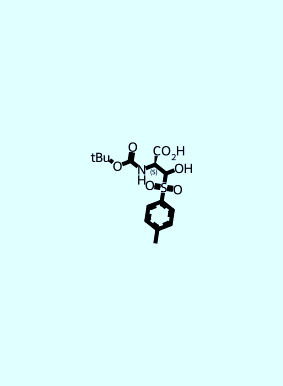 Cc1ccc(S(=O)(=O)C(O)[C@@H](NC(=O)OC(C)(C)C)C(=O)O)cc1